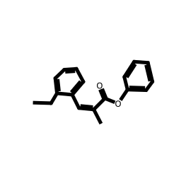 CCc1ccccc1C=C(C)C(=O)Oc1ccccc1